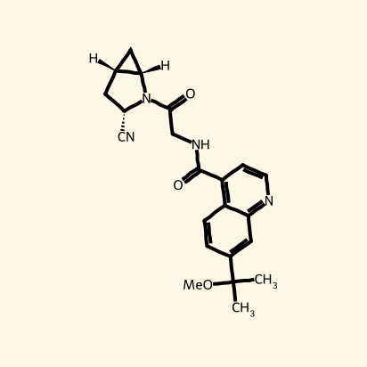 COC(C)(C)c1ccc2c(C(=O)NCC(=O)N3[C@H](C#N)C[C@@H]4C[C@@H]43)ccnc2c1